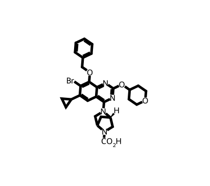 O=C(O)N1C[C@@H]2CC1CN2c1nc(OC2CCOCC2)nc2c(OCc3ccccc3)c(Br)c(C3CC3)cc12